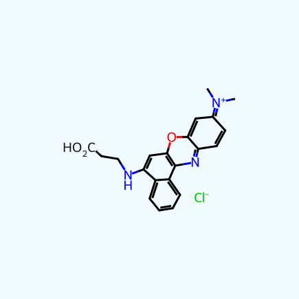 C[N+](C)=c1ccc2nc3c(cc(NCCC(=O)O)c4ccccc43)oc-2c1.[Cl-]